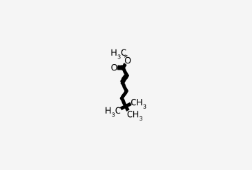 COC(=O)/C=C/CCC(C)(C)C